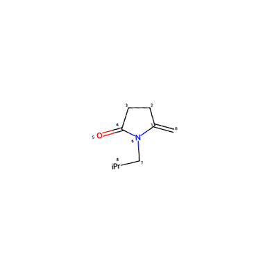 C=C1CCC(=O)N1CC(C)C